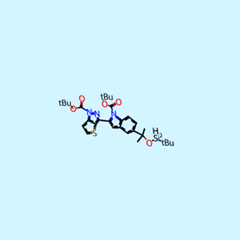 CC(C)(C)OC(=O)n1nc(-c2cc3cc(C(C)(C)O[SiH2]C(C)(C)C)ccc3n2C(=O)OC(C)(C)C)c2sccc21